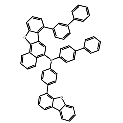 c1ccc(-c2ccc(N(c3ccc(-c4cccc5c4oc4ccccc45)cc3)c3cc4c(oc5cccc(-c6cccc(-c7ccccc7)c6)c54)c4ccccc34)cc2)cc1